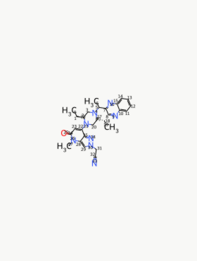 CC[C@H]1CN(C(C)c2cnc3ccccc3n2)[C@H](CC)CN1c1cc(=O)n(C)c2cn(CC#N)nc12